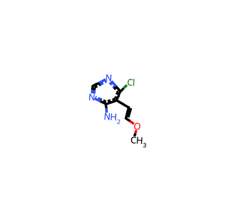 CO/C=C/c1c(N)ncnc1Cl